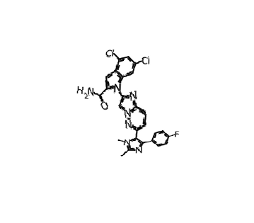 Cc1nc(-c2ccc(F)cc2)c(-c2ccc3nc(-n4c(C(N)=O)cc5c(Cl)cc(Cl)cc54)cn3n2)n1C